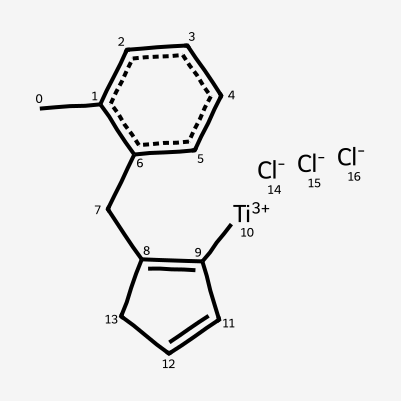 Cc1ccccc1CC1=[C]([Ti+3])C=CC1.[Cl-].[Cl-].[Cl-]